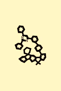 CC1(C)c2cc3c(cc2-c2c(-c4ccc(-c5cccc(-c6cc(-c7ccccc7)nc(-c7ccccc7)n6)c5)cc4)cccc21)C1(CCCCC1)c1ccccc1-3